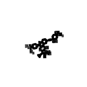 CC1(C)CCC(O)(C#Cc2ccc3nc(N4CCC(C)(N)CC4)nc(Nc4n[nH]c(C5CC5)c4F)c3c2)CC1.Cl.Cl